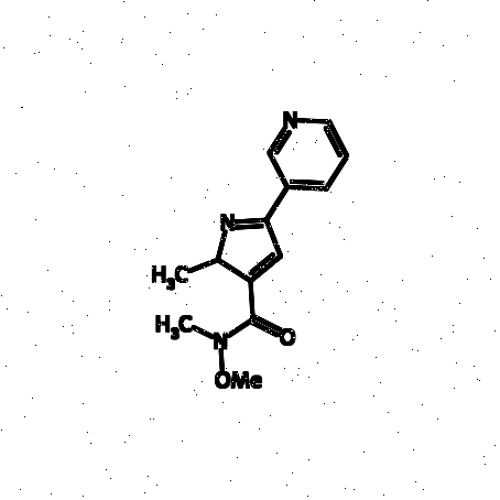 CON(C)C(=O)C1=CC(c2cccnc2)=NC1C